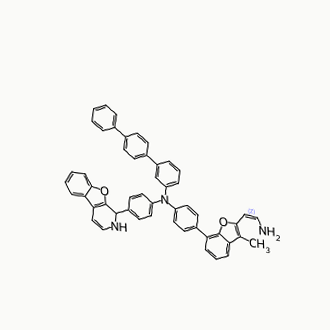 Cc1c(/C=C\N)oc2c(-c3ccc(N(c4ccc(C5NC=Cc6c5oc5ccccc65)cc4)c4cccc(-c5ccc(-c6ccccc6)cc5)c4)cc3)cccc12